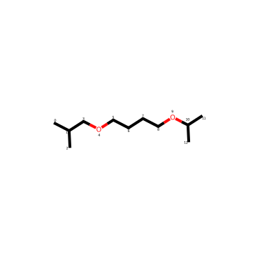 CC(C)COCCCCOC(C)C